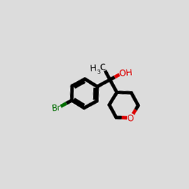 CC(O)(c1ccc(Br)cc1)C1CCOCC1